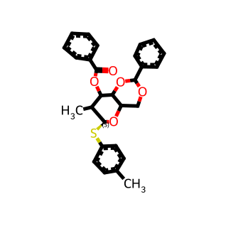 Cc1ccc(S[C@@H]2OC3COC(c4ccccc4)OC3C(OC(=O)c3ccccc3)C2C)cc1